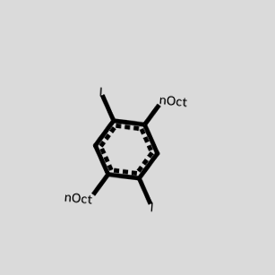 CCCCCCCCc1cc(I)c(CCCCCCCC)cc1I